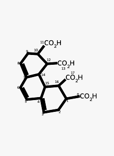 O=C(O)C1CC=C2C=CC3=CCC(C(=O)O)C(C(=O)O)C3C2C1C(=O)O